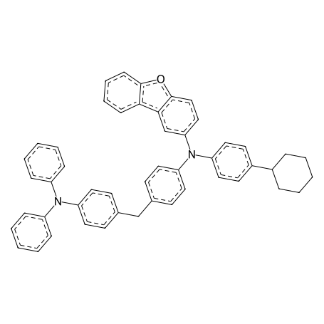 c1ccc(N(c2ccccc2)c2ccc(Cc3ccc(N(c4ccc(C5CCCCC5)cc4)c4ccc5oc6ccccc6c5c4)cc3)cc2)cc1